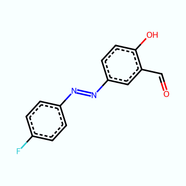 O=Cc1cc(N=Nc2ccc(F)cc2)ccc1O